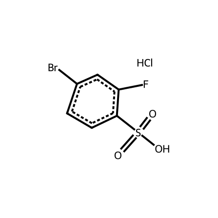 Cl.O=S(=O)(O)c1ccc(Br)cc1F